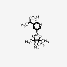 CC(C(=O)O)c1cncc(B2OC(C)(C)C(C)(C)O2)c1